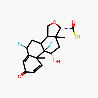 CC12C[C@H](O)[C@@]3(F)C(C[C@H](F)C4=CC(=O)C=CC43C)C1CO[C@@H]2C(=O)S